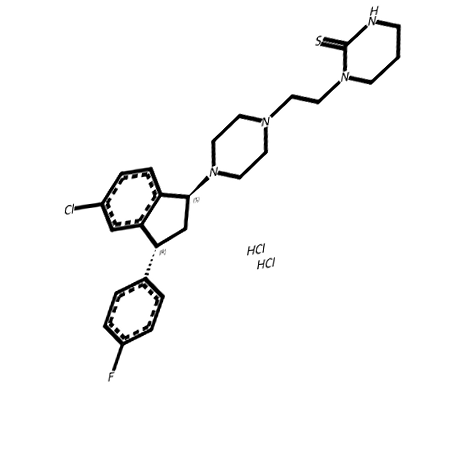 Cl.Cl.Fc1ccc([C@H]2C[C@H](N3CCN(CCN4CCCNC4=S)CC3)c3ccc(Cl)cc32)cc1